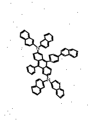 C1=CC2=CC=C(N(c3ccc4ccccc4c3)c3ccc4c(-c5ccccc5)c5cc(N(c6ccc7ccccc7c6)c6ccc7ccccc7c6)ccc5c(-c5ccc(-c6ccc7ccccc7c6)cc5)c4c3)CC2C=C1